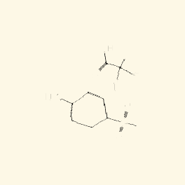 CS(=O)(=O)C1CCC(N)CC1.O=C(O)C(F)(F)F